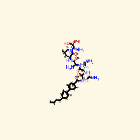 CCCCc1ccc(-c2ccc(C(=O)N[C@@H](CCN)C(=O)N[C@@H](CCN)C(=O)N[C@@H](N)C(=O)N[C@@H](CC(C)C)C(=O)N[C@@H](N)B(O)O)cc2)cc1